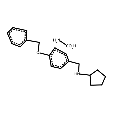 NC(=O)O.c1ccc(COc2ccc(CNC3CCCC3)cc2)cc1